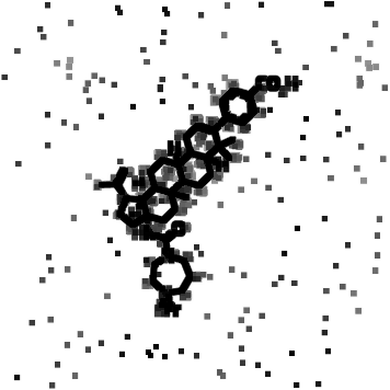 C=C(C)[C@@H]1CC[C@]2(NC(=O)N3CCCN(CCC)CC3)CC[C@]3(C)[C@H](CC[C@@H]4[C@@]5(C)CC=C(c6ccc(C(=O)O)cc6)C(C)(C)[C@@H]5CC[C@]43C)[C@@H]12